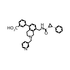 O=C(O)c1cccc(-c2ccc(CNC(=O)[C@@H]3C[C@@H]3c3ccccc3)c3c2CCN(Cc2cccnc2)C3)c1